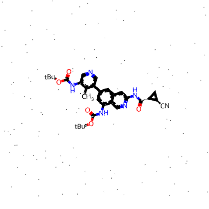 Cc1c(NC(=O)OC(C)(C)C)cncc1-c1cc(NC(=O)OC(C)(C)C)c2cnc(NC(=O)[C@@H]3C[C@H]3C#N)cc2c1